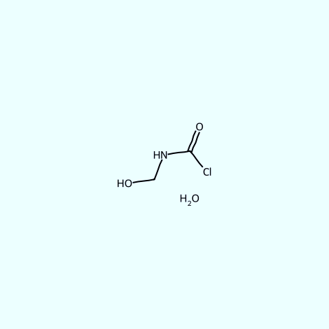 O.O=C(Cl)NCO